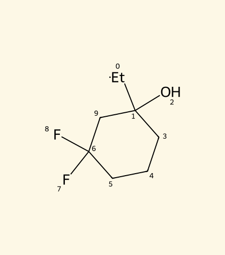 C[CH]C1(O)CCCC(F)(F)C1